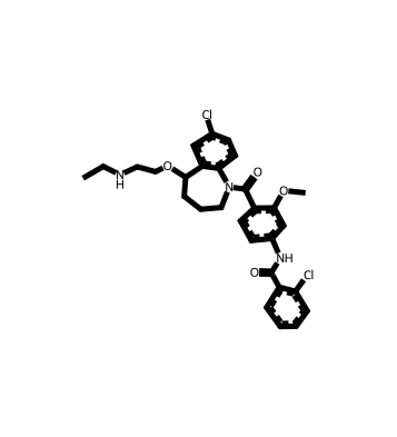 CCNCCOC1CCCN(C(=O)c2ccc(NC(=O)c3ccccc3Cl)cc2OC)c2ccc(Cl)cc21